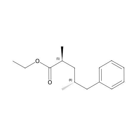 CCOC(=O)[C@@H](C)C[C@@H](C)Cc1ccccc1